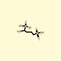 NC(CCCS(=O)(=O)O)P(=O)(O)O